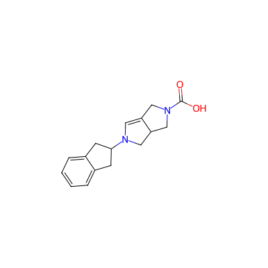 O=C(O)N1CC2=CN(C3Cc4ccccc4C3)CC2C1